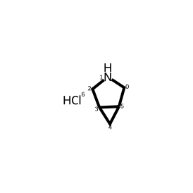 C1NCC2CC12.Cl